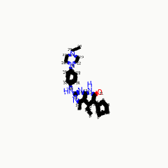 CCc1c(-c2ccccc2)c(=O)[nH]c2nc(Nc3ccc(N4CCN(CC)CC4)cc3)nc(C)c12